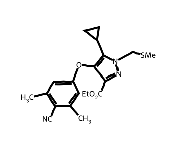 CCOC(=O)c1nn(CSC)c(C2CC2)c1Oc1cc(C)c(C#N)c(C)c1